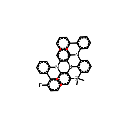 C[Si]1(C)c2cccc3c2B2c4c(cccc4N(c4ccccc4-c4ccccc4F)c4cccc1c42)N3c1ccccc1-c1ccccc1F